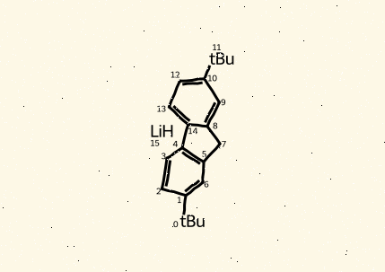 CC(C)(C)c1ccc2c(c1)[CH]c1cc(C(C)(C)C)ccc1-2.[LiH]